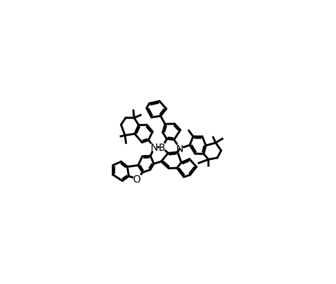 Cc1cc2c(cc1N1c3ccc(-c4ccccc4)cc3B3c4c(cc5ccccc5c41)-c1cc4oc5ccccc5c4cc1N3c1ccc3c(c1)C(C)(C)CCC3(C)C)C(C)(C)CCC2(C)C